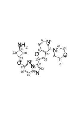 C[C@@H]1CN(c2nccc3oc(-c4cnc5ccc(OC6CC(N)C6)nn45)cc23)CCO1